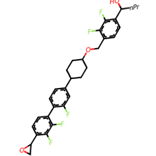 CCCC(O)c1ccc(COC2CCC(c3ccc(-c4ccc(C5CO5)c(F)c4F)c(F)c3)CC2)c(F)c1F